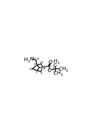 CC(C)(C)OC(=O)N1CC2CC(CN)(C2)C1